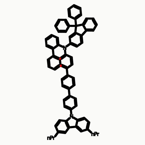 CCCc1ccc2c(c1)c1cc(CCC)ccc1n2-c1ccc(-c2ccc(-c3ccc(N(c4ccc5c(c4)C(c4ccccc4)(c4ccccc4)c4ccccc4-5)c4ccccc4-c4ccccc4)cc3)cc2)cc1